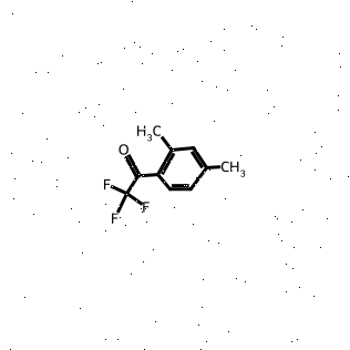 Cc1ccc(C(=O)C(F)(F)F)c(C)c1